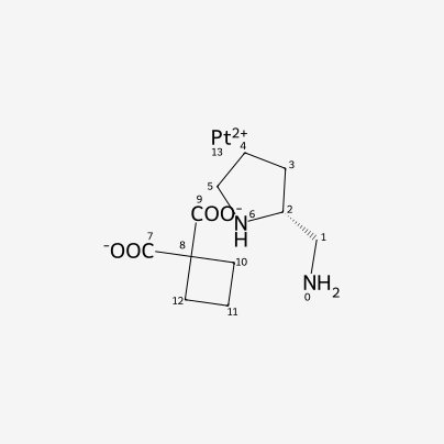 NC[C@H]1CCCN1.O=C([O-])C1(C(=O)[O-])CCC1.[Pt+2]